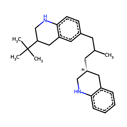 CC(Cc1ccc2c(c1)CC(C(C)(C)C)CN2)C[C@H]1CNc2ccccc2C1